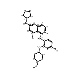 COC1CCC(Oc2cc(F)ccc2Nc2ncnc3cc(N=S4CCCC4)cc(C)c23)CC1